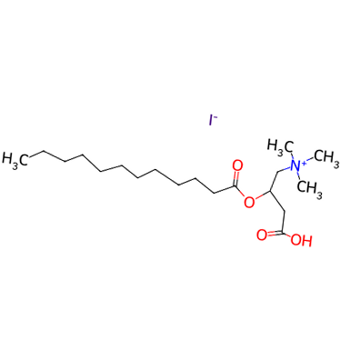 CCCCCCCCCCCC(=O)OC(CC(=O)O)C[N+](C)(C)C.[I-]